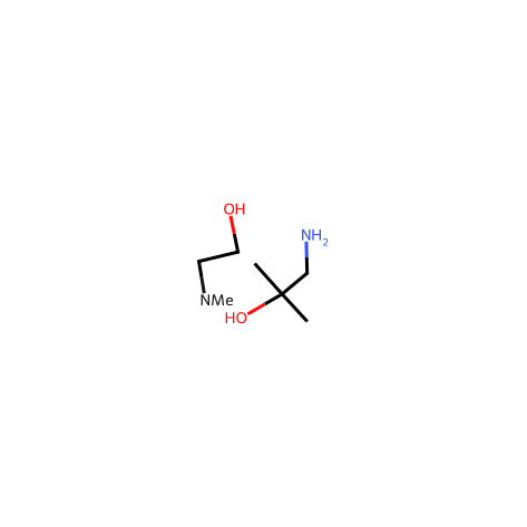 CC(C)(O)CN.CNCCO